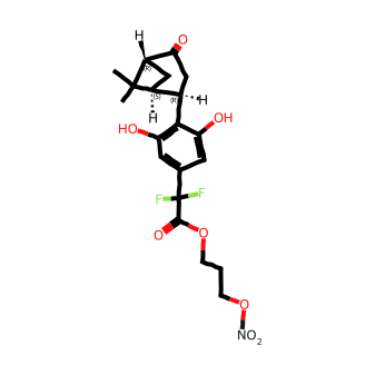 CC1(C)[C@H]2C[C@H]1[C@H](c1c(O)cc(C(F)(F)C(=O)OCCCO[N+](=O)[O-])cc1O)CC2=O